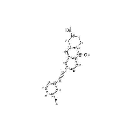 CCC(C)N1CCn2c(nc3cc(C#Cc4cccc(F)c4)ccc3c2=O)C1